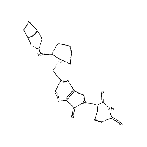 C=C1CCC(N2Cc3cc(C[C@H]4CCCC[C@@H]4NC4CC5CCC5C4)ccc3C2=O)C(=O)N1